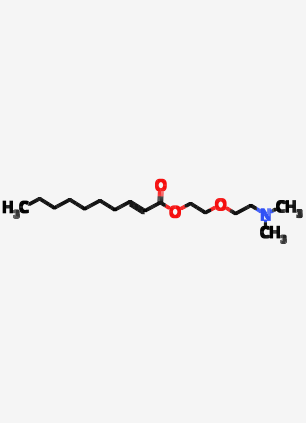 CCCCCCCC=CC(=O)OCCOCCN(C)C